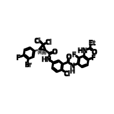 CCC(=O)Nc1c(F)ccc(NC(=O)c2cc(NC(=O)[C@H]3[C@H](c4ccc(F)c(Br)c4)C3(Cl)Cl)ccc2Cl)c1F